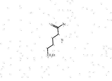 CCOC(=O)CCCCC(=O)C(C)=O.[Ti]